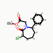 CC(C)(C)OC(=O)CN1C(=O)C(Br)CCCC1c1ccccc1